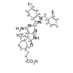 C[C@]1(c2cccc(CCC(=O)O)c2)C(=O)Nc2nc(-c3nn(Cc4ccccc4F)c4cc(F)ccc34)nc(N)c21